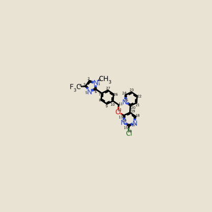 Cn1cc(C(F)(F)F)nc1-c1ccc(COc2nc(Cl)ncc2-c2ccccn2)cc1